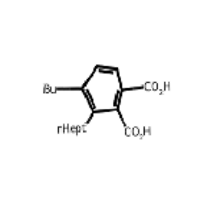 CCCCCCCc1c(C(C)CC)ccc(C(=O)O)c1C(=O)O